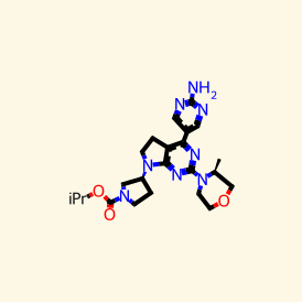 CC(C)OC(=O)N1CC[C@H](N2CCc3c(-c4cnc(N)nc4)nc(N4CCOC[C@@H]4C)nc32)C1